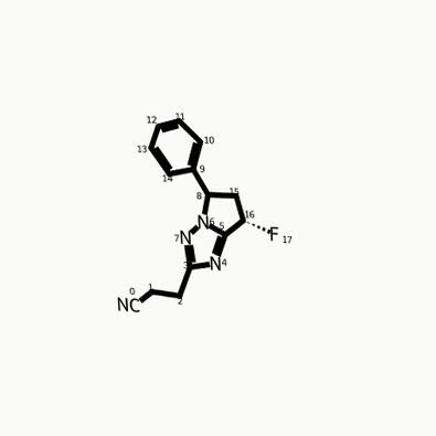 N#CCCc1nc2n(n1)C(c1ccccc1)C[C@@H]2F